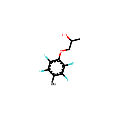 CCC(C)c1c(F)c(F)c(OCC(C)O)c(F)c1F